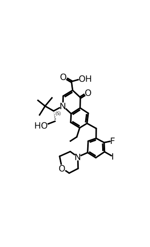 CCc1cc2c(cc1Cc1cc(N3CCOCC3)cc(I)c1F)c(=O)c(C(=O)O)cn2[C@H](CO)C(C)(C)C